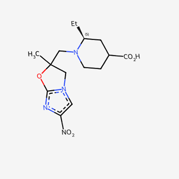 CC[C@H]1CC(C(=O)O)CCN1CC1(C)Cn2cc([N+](=O)[O-])nc2O1